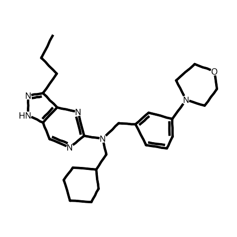 CCCc1n[nH]c2cnc(N(Cc3cccc(N4CCOCC4)c3)CC3CCCCC3)nc12